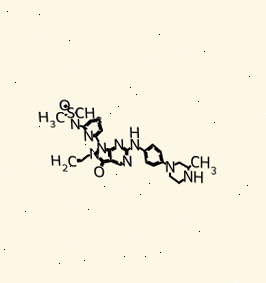 C=CCn1c(=O)c2cnc(Nc3ccc(N4CCNC(C)C4)cc3)nc2n1-c1cccc(N=S(C)(C)=O)n1